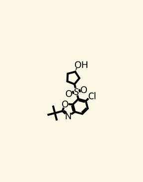 CC(C)(C)c1nc2ccc(Cl)c(S(=O)(=O)C3CC[C@H](O)C3)c2o1